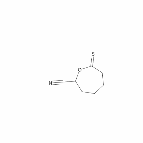 N#CC1CCCCC(=S)O1